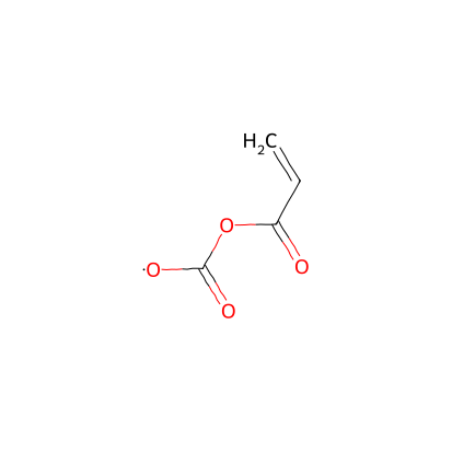 C=CC(=O)OC([O])=O